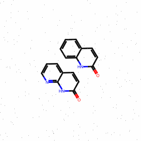 O=c1ccc2ccccc2[nH]1.O=c1ccc2cccnc2[nH]1